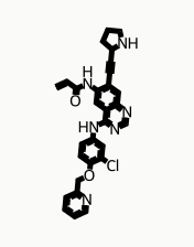 C=CC(=O)Nc1cc2c(Nc3ccc(OCc4ccccn4)c(Cl)c3)ncnc2cc1C#CC1CCCN1